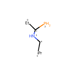 CCC(P)NCC(C)C